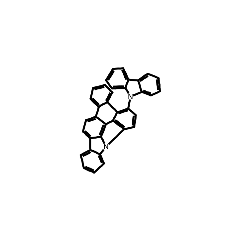 c1ccc2c(c1)c1ccc3c4ccccc4n4c5ccc(-n6c7ccccc7c7ccccc76)c2c5c1c34